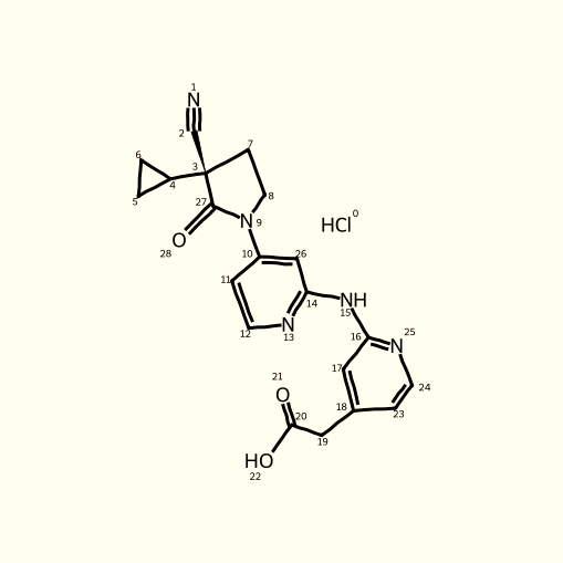 Cl.N#C[C@@]1(C2CC2)CCN(c2ccnc(Nc3cc(CC(=O)O)ccn3)c2)C1=O